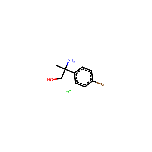 CC(N)(CO)c1ccc(Br)cc1.Cl